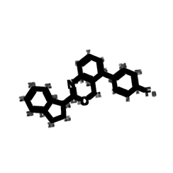 Fc1ccc(-c2cccc3c2COC([C]2CCc4ccccc42)=N3)cc1